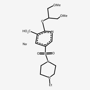 CCN1CCN(S(=O)(=O)c2cnc(OC(COC)COC)c(C(=O)O)c2)CC1.[Na]